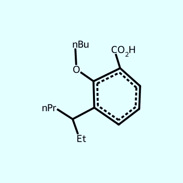 CCCCOc1c(C(=O)O)cccc1C(CC)CCC